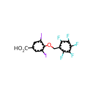 O=C(O)c1cc(I)c(OCc2c(F)c(F)c(F)c(F)c2F)c(I)c1